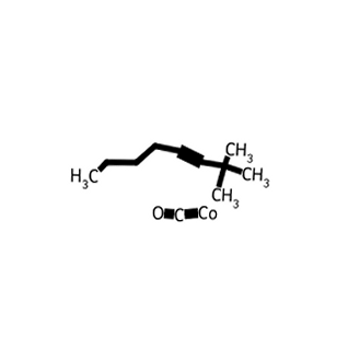 CCCCC#CC(C)(C)C.O=[C]=[Co]